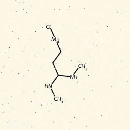 CNC(C[CH2][Mg][Cl])NC